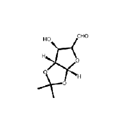 CC1(C)O[C@H]2OC(C=O)[C@H](O)[C@H]2O1